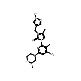 CCn1cc(Cn2c(C)cn(-c3nc(N4CCO[C@H](C)C4)cc(C(F)(F)F)c3C)c2=O)cn1